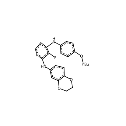 CCCCOc1ccc(Nc2ccnc(Nc3ccc4c(c3)OCCO4)c2F)cc1